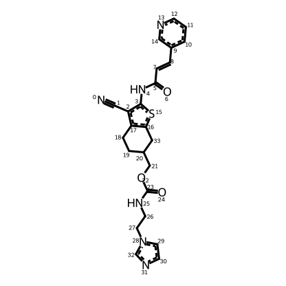 N#Cc1c(NC(=O)C=Cc2cccnc2)sc2c1CCC(COC(=O)NCCn1ccnc1)C2